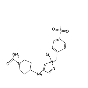 CC[N+]1(Cc2ccc(S(C)(=O)=O)cc2)C=C(NC2CCN(C(N)=O)CC2)C=N1